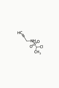 C#CCNS(=O)(=O)C(C)Cl